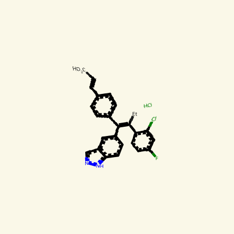 CCC(=C(c1ccc(C=CC(=O)O)cc1)c1ccc2[nH]ncc2c1)c1ccc(F)cc1Cl.Cl